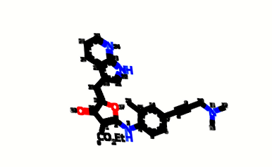 CCOC(=O)C1=C(Nc2ccc(C#CCN(C)C)cc2C)OC(=Cc2c[nH]c3ncccc23)C1=O